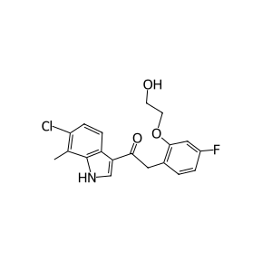 Cc1c(Cl)ccc2c(C(=O)Cc3ccc(F)cc3OCCO)c[nH]c12